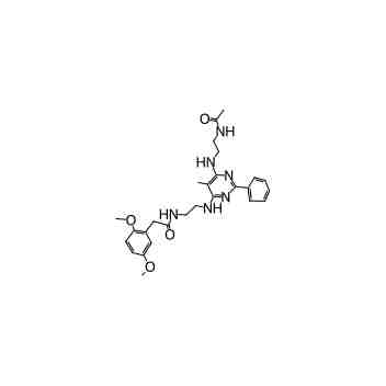 COc1ccc(OC)c(CC(=O)NCCNc2nc(-c3ccccc3)nc(NCCNC(C)=O)c2C)c1